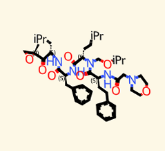 CC(C)CC[C@@H](C(=O)N[C@@H](Cc1ccccc1)C(=O)N[C@@H](CC(C)C)C(=O)[C@@]1(C)CO1)N(COC(C)C)C(=O)[C@H](CCc1ccccc1)NC(=O)CN1CCOCC1